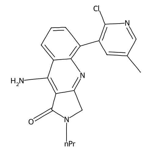 CCCN1Cc2nc3c(-c4cc(C)cnc4Cl)cccc3c(N)c2C1=O